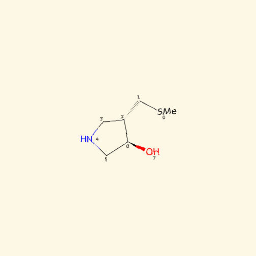 CSC[C@H]1CNC[C@@H]1O